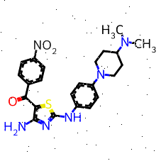 CN(C)C1CCN(c2ccc(Nc3nc(N)c(C(=O)c4ccc([N+](=O)[O-])cc4)s3)cc2)CC1